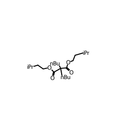 CCCCC(CCCC)(C(=O)OCCC(C)C)C(=O)OCCC(C)C